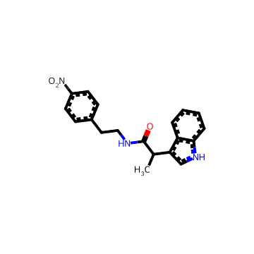 CC(C(=O)NCCc1ccc([N+](=O)[O-])cc1)c1c[nH]c2ccccc12